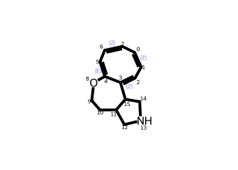 C1=C\C=C2/C(=C\C=C/1)OCCC1CNCC21